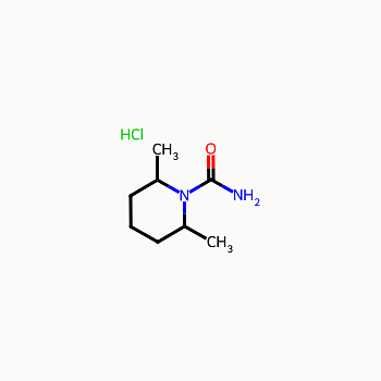 CC1CCCC(C)N1C(N)=O.Cl